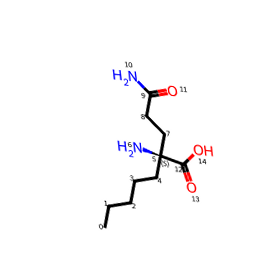 CCCCC[C@](N)(CCC(N)=O)C(=O)O